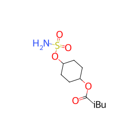 CCC(C)C(=O)OC1CCC(OS(N)(=O)=O)CC1